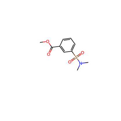 COC(=O)c1cccc(S(=O)(=O)N(C)C)c1